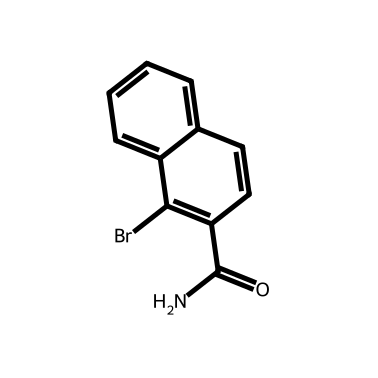 NC(=O)c1ccc2ccccc2c1Br